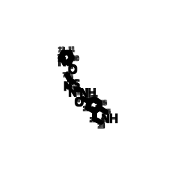 O=C(Nc1nnc(COc2ccccn2)s1)c1ccc2c(c1)CCNC2